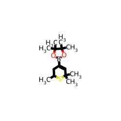 CC1CC(B2OC(C)(C)C(C)(C)O2)=CC(C)(C)S1